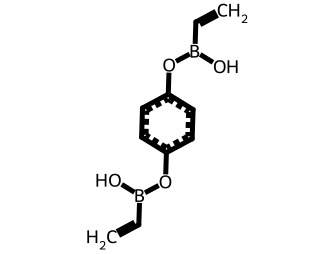 C=CB(O)Oc1ccc(OB(O)C=C)cc1